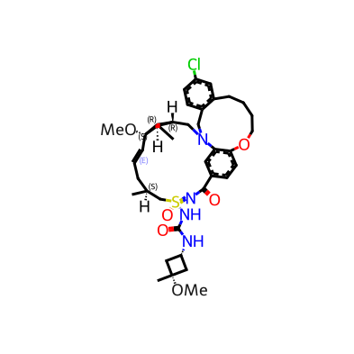 CO[C@@]12/C=C/C[C@H](C)CS(=O)(NC(=O)N[C@H]3C[C@@](C)(OC)C3)=NC(=O)c3ccc4c(c3)N(Cc3ccc(Cl)cc3CCCCO4)C[C@H](C1)[C@H]2C